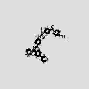 CN1CCN(C(=O)c2ccc(NC(=O)Nc3ccc(-c4nc(N5CCOCC5)c5ccc(-c6cccnc6)cc5n4)cc3)cc2)CC1